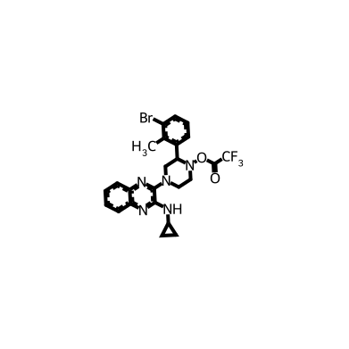 Cc1c(Br)cccc1C1CN(c2nc3ccccc3nc2NC2CC2)CCN1OC(=O)C(F)(F)F